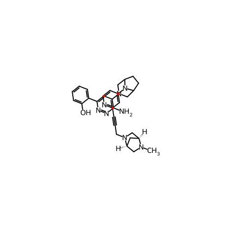 CN1C[C@@H]2C[C@H]1CN2CC#Cc1cc(N2C3CCC2CN(c2cc(-c4ccccc4O)nnc2N)C3)ccn1